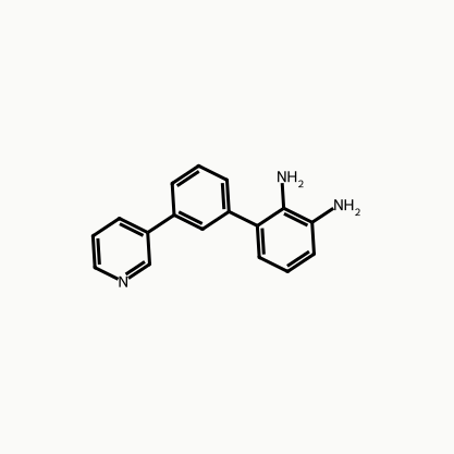 Nc1cccc(-c2cccc(-c3cccnc3)c2)c1N